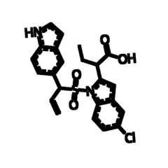 C=CC(c1ccc2[nH]ccc2c1)S(=O)(=O)n1c(C(CC)C(=O)O)cc2cc(Cl)ccc21